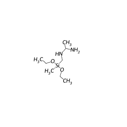 CCO[Si](C)(CNC(C)N)OCC